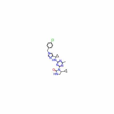 Cc1nc(NC2(c3cn(Cc4ccc(Cl)cc4)cn3)CC2)nc(N2C(=O)NCC2C2CC2)n1